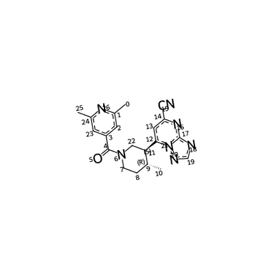 Cc1cc(C(=O)N2CC[C@@H](C)[C@H](c3cc(C#N)nc4ncnn34)C2)cc(C)n1